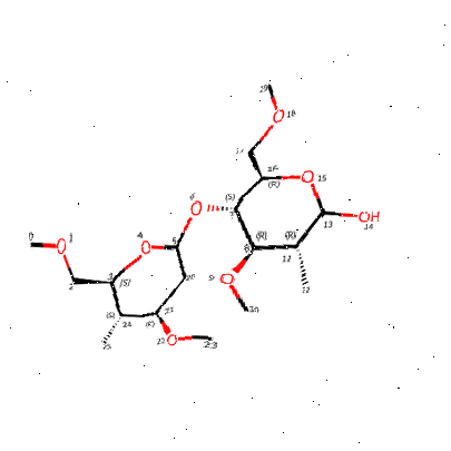 COC[C@H]1OC(O[C@H]2[C@H](OC)[C@@H](C)C(O)O[C@@H]2COC)C[C@@H](OC)[C@@H]1C